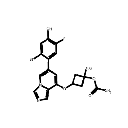 CCc1cc(O)c(F)cc1-c1cc(OC2CC(OC(N)=O)(C(C)(C)C)C2)c2cncn2c1